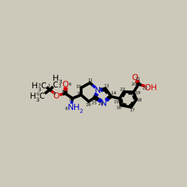 CC(C)(C)OC(=O)C(N)C1CCn2cc(-c3cccc(C(=O)O)c3)nc2C1